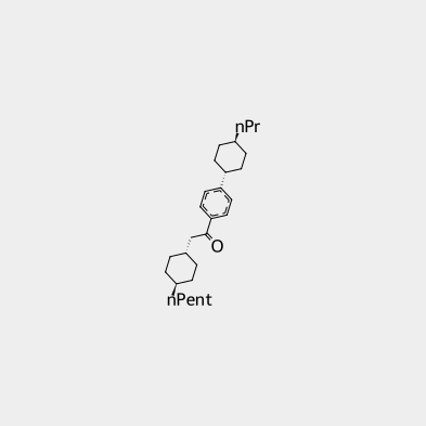 CCCCC[C@H]1CC[C@H](CC(=O)c2ccc([C@H]3CC[C@H](CCC)CC3)cc2)CC1